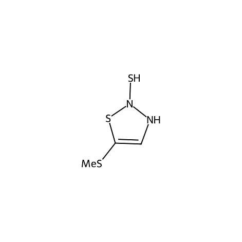 CSC1=CNN(S)S1